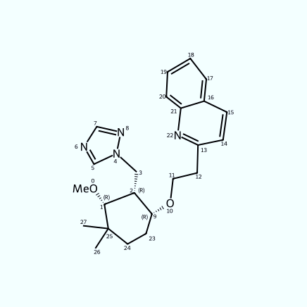 CO[C@@H]1[C@H](Cn2cncn2)[C@H](OCCc2ccc3ccccc3n2)CCC1(C)C